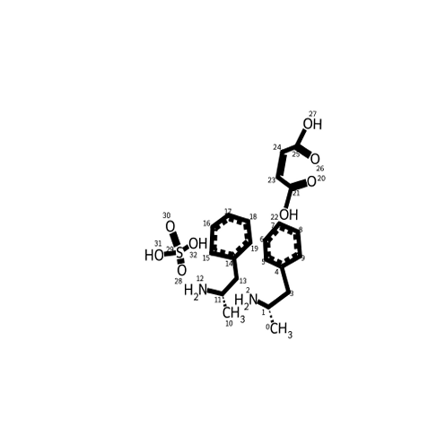 C[C@H](N)Cc1ccccc1.C[C@H](N)Cc1ccccc1.O=C(O)/C=C\C(=O)O.O=S(=O)(O)O